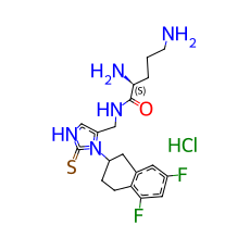 Cl.NCCC[C@H](N)C(=O)NCc1c[nH]c(=S)n1C1CCc2c(F)cc(F)cc2C1